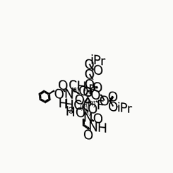 CC(C)OC(=O)OCOP(=O)(OCOC(=O)OC(C)C)OC1[C@]2(OC(=O)[C@H](C)NC(=O)OCc3ccccc3)[C@@](C)(O)[C@H](n3ccc(=O)[nH]c3=O)O[C@]12CF